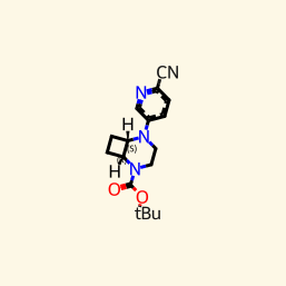 CC(C)(C)OC(=O)N1CCN(c2ccc(C#N)nc2)[C@H]2CC[C@H]21